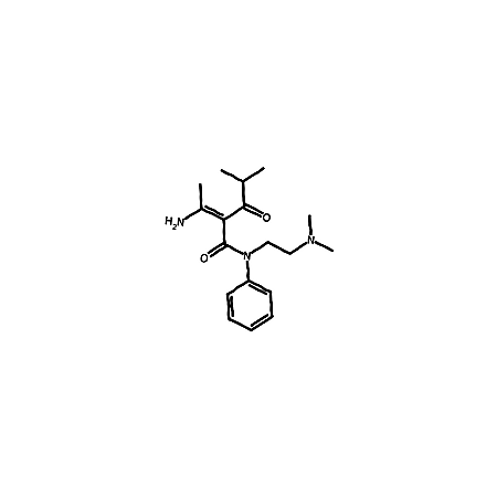 C/C(N)=C(\C(=O)C(C)C)C(=O)N(CCN(C)C)c1ccccc1